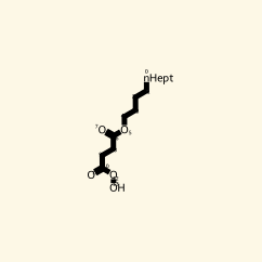 CCCCCCCCCCCOC(=O)CCC(=O)OO